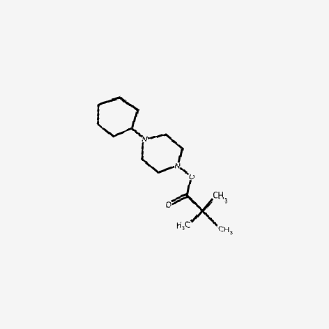 CC(C)(C)C(=O)ON1CCN(C2CCCCC2)CC1